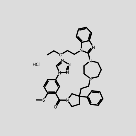 CCOCCn1c(N2CCCN(CCC3(c4ccccc4)CCN(C(=O)c4cc(-n5cnnn5)ccc4SC)C3)CC2)nc2ccccc21.Cl